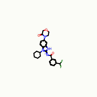 O=C(/N=c1\[nH]c2cc(N3CCOCC3=O)ccc2n1C1CCCCC1)c1cccc(C(F)F)c1